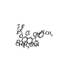 COc1nc2ccc(C(O)(c3ccc(C)nc3)c3cncn3C)cc2c(Cl)c1OCC(F)(F)F